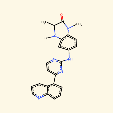 CC(C)N1c2cc(Nc3nccc(-c4cccc5ncccc45)n3)ccc2N(C)C(=O)C1C